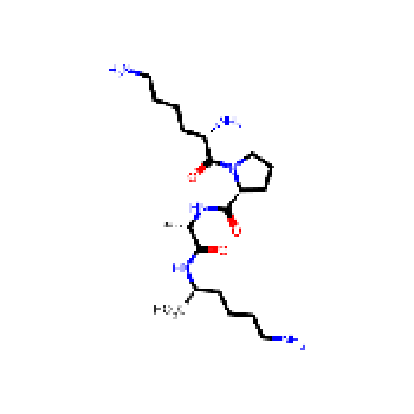 C[C@H](NC(=O)[C@@H]1CCCN1C(=O)[C@@H](N)CCCCN)C(=O)N[C@@H](CCCCN)C(=O)O